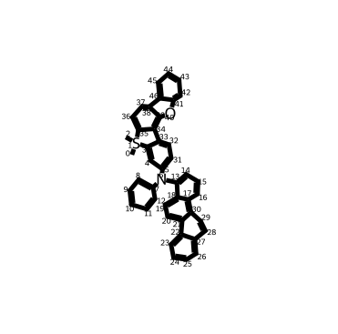 CS1(C)c2cc(N(c3ccccc3)c3cccc4c3ccc3c5ccccc5ccc43)ccc2-c2c1ccc1c2oc2ccccc21